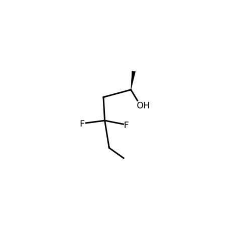 CCC(F)(F)C[C@@H](C)O